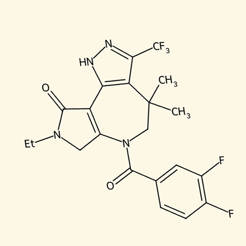 CCN1CC2=C(C1=O)c1[nH]nc(C(F)(F)F)c1C(C)(C)CN2C(=O)c1ccc(F)c(F)c1